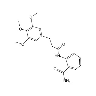 COc1cc(CCC(=O)Nc2ccccc2C(N)=O)cc(OC)c1OC